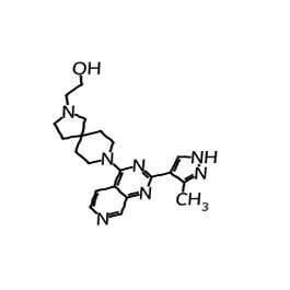 Cc1n[nH]cc1-c1nc(N2CCC3(CCN(CCO)C3)CC2)c2ccncc2n1